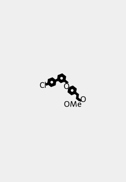 COC(=O)CCc1ccc(OCc2cccc(-c3ccc(Cl)cc3)c2)cc1